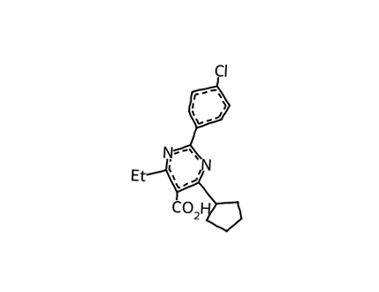 CCc1nc(-c2ccc(Cl)cc2)nc(C2CCCC2)c1C(=O)O